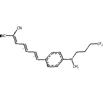 CN(CCCC(F)(F)F)c1ccc(/C=C/C=C/C=C(C#N)C#N)cc1